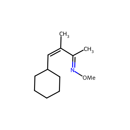 CON=C(C)C(C)=CC1CCCCC1